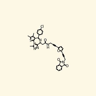 Cc1sc2c(c1C)C(c1ccc(Cl)cc1)=N[C@@H](CC(=O)NCC#Cc1ccc(C#CCN3C(=O)c4ccccc4C3=O)o1)c1nnc(C)n1-2